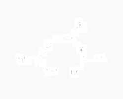 CC(C)C(=O)C(C)C.CCOCC.O=[PH](O)O